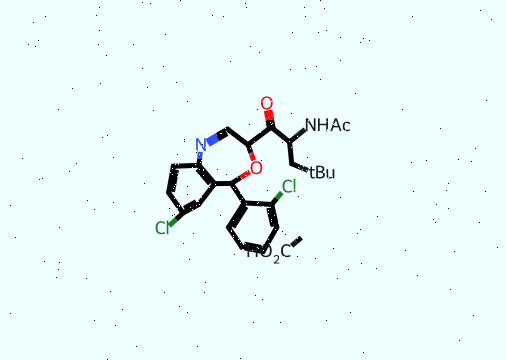 CC(=O)NC(CC(C)(C)C)C(=O)C1C=Nc2ccc(Cl)cc2C(c2ccccc2Cl)O1.CC(=O)O